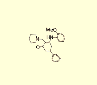 COc1ccccc1NC1=C(CN2CCCCC2)C(=O)CC(c2ccccc2)C1